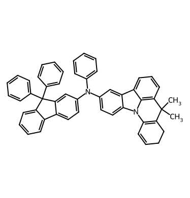 CC1(C)C2=C(C=CCC2)n2c3ccc(N(c4ccccc4)c4ccc5c(c4)C(c4ccccc4)(c4ccccc4)c4ccccc4-5)cc3c3cccc1c32